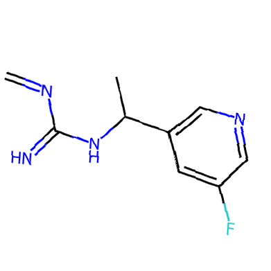 C=NC(=N)NC(C)c1cncc(F)c1